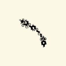 Cc1ccc(S(=O)(=O)OCCOCCOc2ccc(COc3cnn(C(C)(C)C)c(=O)c3Cl)cn2)cc1